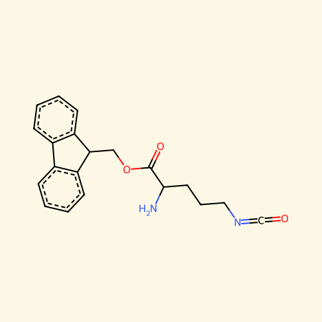 NC(CCCN=C=O)C(=O)OCC1c2ccccc2-c2ccccc21